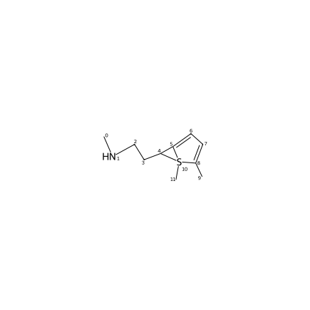 CNCCC1C2=CC=C(C)S21C